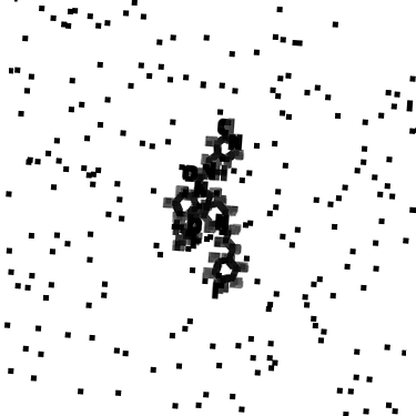 O=C(NCc1ccnc(Cl)c1)N1CC2(CCN(CC=Cc3ccc(F)cc3)CC2)c2c(OC(F)(F)F)cccc21